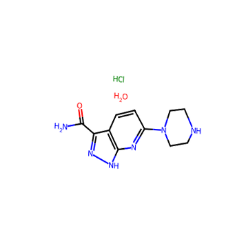 Cl.NC(=O)c1n[nH]c2nc(N3CCNCC3)ccc12.O